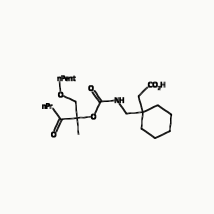 CCCCCOCC(C)(OC(=O)NCC1(CC(=O)O)CCCCC1)C(=O)CCC